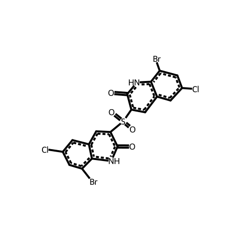 O=c1[nH]c2c(Br)cc(Cl)cc2cc1S(=O)(=O)c1cc2cc(Cl)cc(Br)c2[nH]c1=O